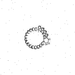 O=C1CCCCCCCCCCCCCCCC2CCCCC2C(=O)C(=O)C1=O